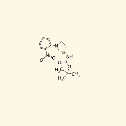 CC(C)(C)OC(=O)N[C@H]1CCN(c2ccccc2[N+](=O)[O-])C1